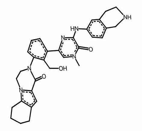 Cn1cc(-c2cccc(N3CCn4c(cc5c4CCCC5)C3=O)c2CO)nc(Nc2ccc3c(c2)CCNC3)c1=O